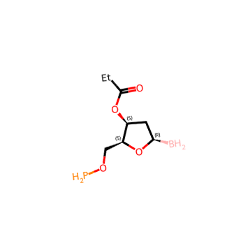 B[C@@H]1C[C@H](OC(=O)CC)[C@H](COP)O1